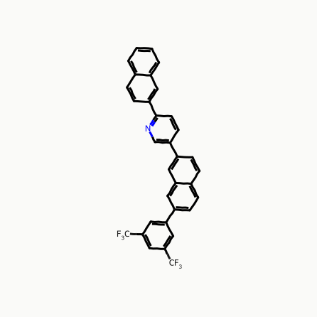 FC(F)(F)c1cc(-c2ccc3ccc(-c4ccc(-c5ccc6ccccc6c5)nc4)cc3c2)cc(C(F)(F)F)c1